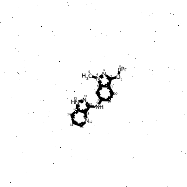 CCCOc1nn(C)c2cc(Nc3n[nH]c4cccnc34)ccc12